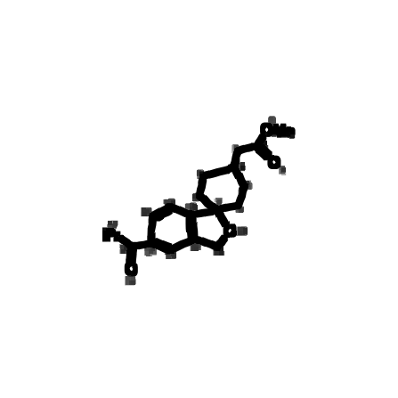 COC(=O)CC1CCC2(CC1)OCc1cc(C(=O)C(C)C)ccc12